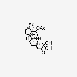 CC(=O)OC1C[C@H]2[C@@H](CCC3=CC(=O)C(O)(O)C[C@@]32C)[C@@H]2CC[C@H](C(C)=O)[C@@]12C